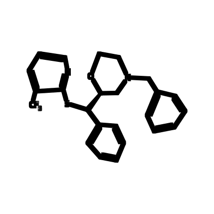 FC(F)(F)c1cccnc1SC(c1ccccc1)[C@@H]1CN(Cc2ccccc2)CCO1